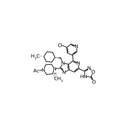 CC(=O)N1CCN(c2nc3cc(-c4noc(=O)[nH]4)nc(-c4cncc(Cl)c4)c3n2C[C@H]2CC[C@H](C)CC2)[C@H](C)C1